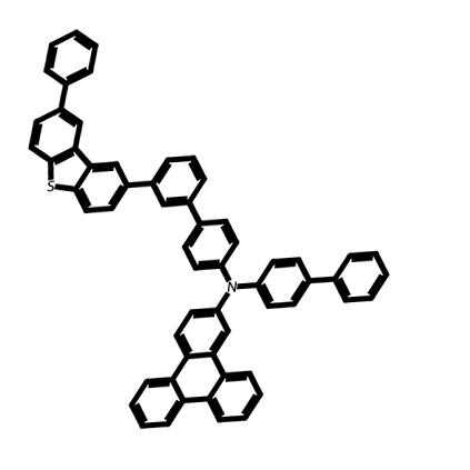 c1ccc(-c2ccc(N(c3ccc(-c4cccc(-c5ccc6sc7ccc(-c8ccccc8)cc7c6c5)c4)cc3)c3ccc4c5ccccc5c5ccccc5c4c3)cc2)cc1